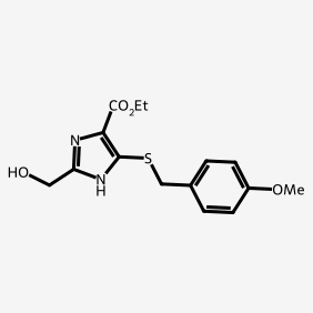 CCOC(=O)c1nc(CO)[nH]c1SCc1ccc(OC)cc1